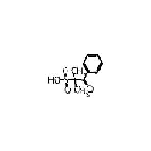 CC(C)(C(=O)c1ccccc1)S(=O)(=O)O